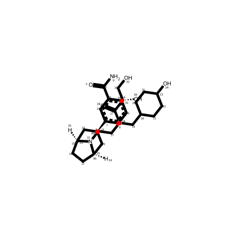 NC(=O)c1cccc([C@H]2C[C@H]3CC[C@@H](C2)N3CCN(CC2CCC(O)CC2)C(=O)[C@@H](O)CO)c1